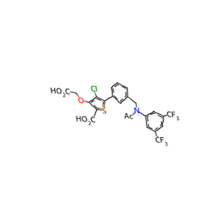 CC(=O)N(Cc1cccc(-c2sc(C(=O)O)c(OCC(=O)O)c2Cl)c1)c1cc(C(F)(F)F)cc(C(F)(F)F)c1